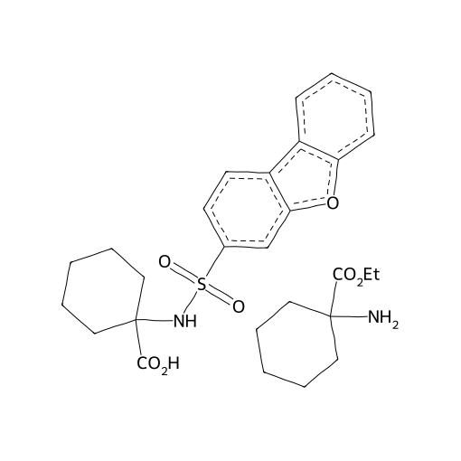 CCOC(=O)C1(N)CCCCC1.O=C(O)C1(NS(=O)(=O)c2ccc3c(c2)oc2ccccc23)CCCCC1